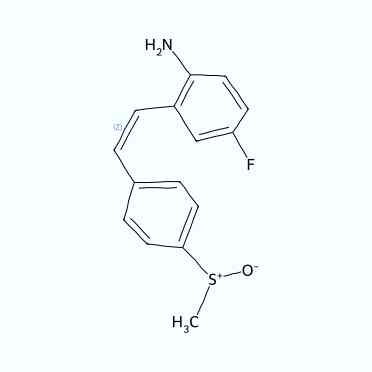 C[S+]([O-])c1ccc(/C=C\c2cc(F)ccc2N)cc1